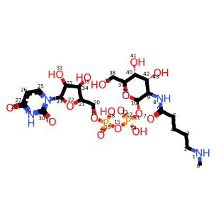 CNCCCCC(=O)NC1[C@@H](OP(=O)(O)OP(=O)(O)OCC2OC(n3ccc(=O)[nH]c3=O)C(O)C2O)OC(CO)[C@H](O)[C@@H]1O